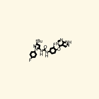 CC(C)(C)c1cc(NC(=O)Nc2ccc(Oc3ncnc4[nH]ncc34)c(F)c2)n(-c2ccc(F)cc2)n1